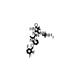 Cc1nc2c(OCc3c(F)ccc(F)c3F)cccn2c1-c1nc(NCC(C)(C)N)c2c(n1)NC(=O)C2(C)C